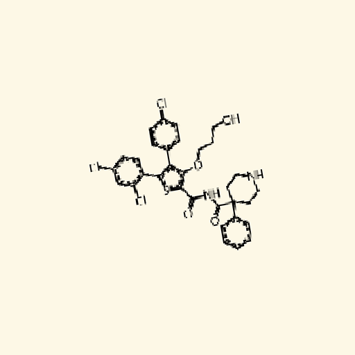 O=C(NC(=O)C1(c2ccccc2)CCNCC1)c1sc(-c2ccc(Cl)cc2Cl)c(-c2ccc(Cl)cc2)c1OCCCO